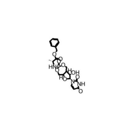 C[C@@H](N[P@]1(=O)OC[C@H]2[C@@H](O)[C@H](n3ccc(=O)[nH]c3=O)O[C@@H]2CO1)C(=O)OCc1ccccc1